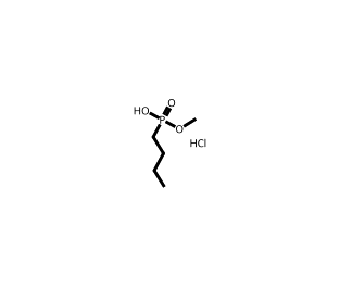 CCCCP(=O)(O)OC.Cl